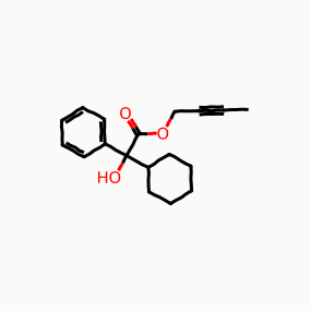 CC#CCOC(=O)C(O)(c1ccccc1)C1CCCCC1